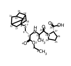 CCOC(=O)[C@H](CSC12CC3CC(CC(C3)C1)C2)NC(C)C(=O)N1CCC[C@H]1C(=O)O